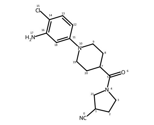 N#CC1CCN(C(=O)C2CCN(c3ccc(Cl)c(N)c3)CC2)C1